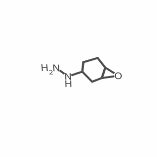 NNC1CCC2OC2C1